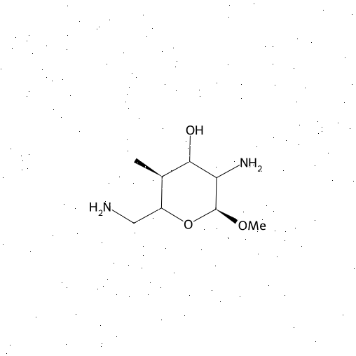 CO[C@H]1OC(CN)[C@@H](C)C(O)C1N